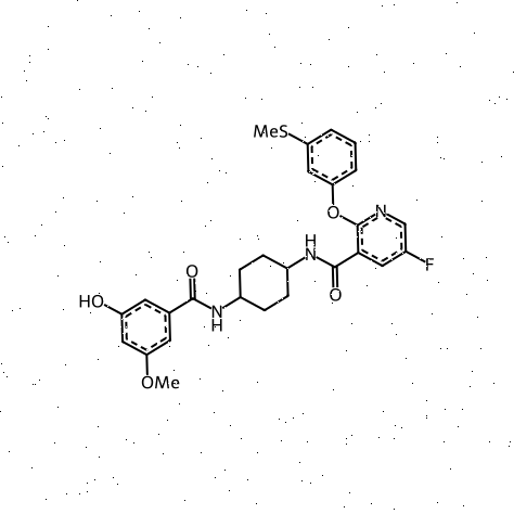 COc1cc(O)cc(C(=O)NC2CCC(NC(=O)c3cc(F)cnc3Oc3cccc(SC)c3)CC2)c1